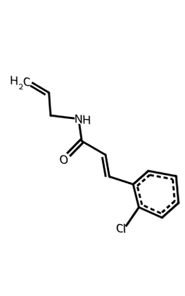 C=CCNC(=O)C=Cc1ccccc1Cl